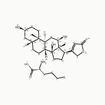 CCCCC(N)C(=O)O.C[C@]12CC[C@H](O)C[C@H]1CC[C@@H]1[C@@H]2C[C@@H](O)[C@]2(C)[C@@H](C3=CC(=O)OC3)CC[C@]12O